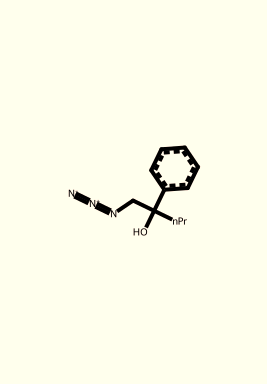 CCCC(O)(CN=[N+]=[N-])c1ccccc1